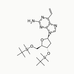 C=Cc1nc(N)nc2c1ncn2[C@H]1C[C@H](O[Si](C)(C)C(C)(C)C)[C@@H](CO[Si](C)(C)C(C)(C)C)O1